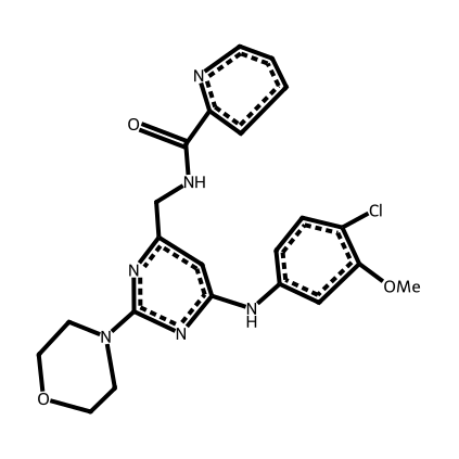 COc1cc(Nc2cc(CNC(=O)c3ccccn3)nc(N3CCOCC3)n2)ccc1Cl